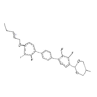 CC/C=C/COc1ccc(-c2ccc(-c3ccc(C4OCC(C)CO4)c(F)c3F)cc2)c(F)c1F